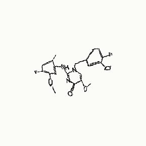 COc1cc(Nc2nc(=O)c(OC)cn2CC2C=C(Cl)C(F)=CC2)c(C)cc1F